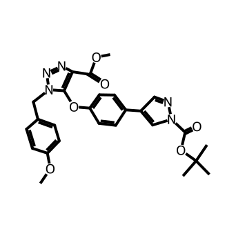 COC(=O)c1nnn(Cc2ccc(OC)cc2)c1Oc1ccc(-c2cnn(C(=O)OC(C)(C)C)c2)cc1